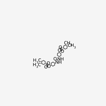 Cc1ccc(S(=O)(=O)Oc2ccc(NC(=O)Nc3ccc(OS(=O)(=O)c4ccc(C)c(C)c4)cc3)cc2)cc1C